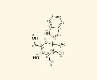 CC(=O)OC1(c2cc3ccccc3[nH]2)O[C@H](CO)[C@@H](O)[C@H](O)[C@@H]1O